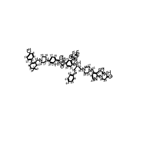 CC1(C)CCC(c2ccc(Cl)cc2)=C(CN2CCN(c3ccc(C(=O)NS(=O)(=O)c4ccc(N[C@H](CCN5CCN(Cc6ccnc(N7CCC(=O)NC7=O)c6F)CC5)CSc5ccccc5)c(S(=O)(=O)C(F)(F)F)c4)cc3)CC2)C1